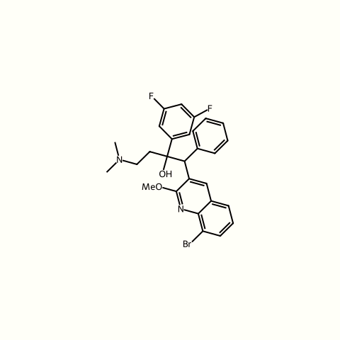 COc1nc2c(Br)cccc2cc1C(c1ccccc1)C(O)(CCN(C)C)c1cc(F)cc(F)c1